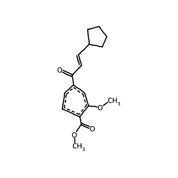 COC(=O)c1ccc(C(=O)C=CC2CCCC2)cc1OC